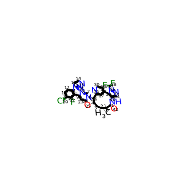 C[C@@H]1CCC[C@H](n2cnc(-c3c(-n4ccnn4)ccc(Cl)c3F)cc2=O)c2cc(ccn2)-c2c(cnn2C(F)F)NC1=O